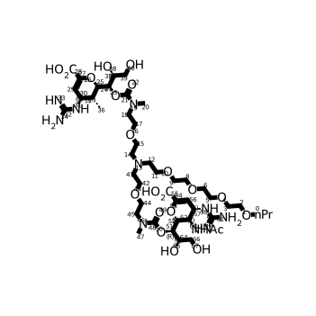 CCCOCCOCCOCCOCCN(CCOCCN(C)C(=O)O[C@@H]([C@@H]1OC(C(=O)O)=C[C@H](NC(=N)N)[C@H]1C)[C@H](O)CO)CCOCCN(C)C(=O)O[C@@H]([C@@H]1OC(C(=O)O)=C[C@H](NC(=N)N)[C@H]1NC(C)=O)[C@H](O)CO